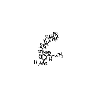 CCCNC(=O)c1cc(C(N)=O)ccc1NC(=O)c1csc(N2CCC(Oc3ncccn3)CC2)n1